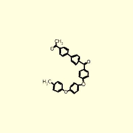 CC(=O)c1ccc(-c2ccc(C(=O)c3ccc(Oc4ccc(Oc5ccc(C)cc5)cc4)cc3)cc2)cc1